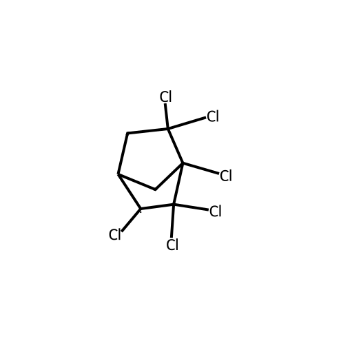 Cl[C]1C2CC(Cl)(Cl)C(Cl)(C2)C1(Cl)Cl